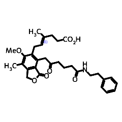 COc1c(C)c2c(c(CC(=O)CCCC(=O)NCCc3ccccc3)c1C/C=C(\C)CCC(=O)O)C(=O)OC2